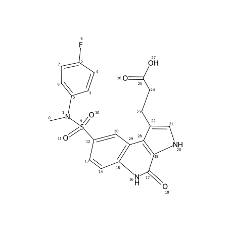 CN(c1ccc(F)cc1)S(=O)(=O)c1ccc2[nH]c(=O)c3[nH]cc(CCC(=O)O)c3c2c1